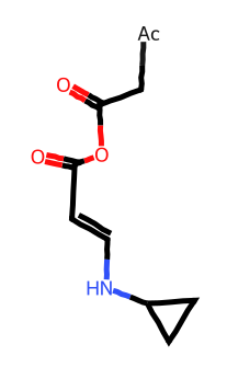 CC(=O)CC(=O)OC(=O)C=CNC1CC1